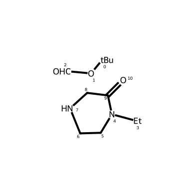 CC(C)(C)OC=O.CCN1CCNCC1=O